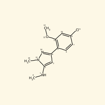 CNc1cc(-c2ccc(Cl)cc2OC)nn1C